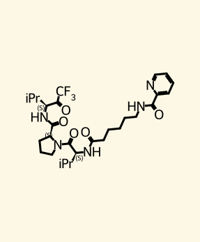 CC(C)[C@H](NC(=O)CCCCCNC(=O)c1ccccn1)C(=O)N1CCC[C@H]1C(=O)N[C@H](C(=O)C(F)(F)F)C(C)C